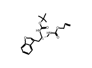 C=CCOC(=O)NC[C@H](Cc1coc2ccccc12)NC(=O)OC(C)(C)C